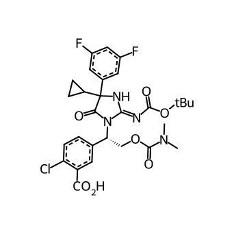 CN(C)C(=O)OC[C@H](c1ccc(Cl)c(C(=O)O)c1)N1C(=O)C(c2cc(F)cc(F)c2)(C2CC2)NC1=NC(=O)OC(C)(C)C